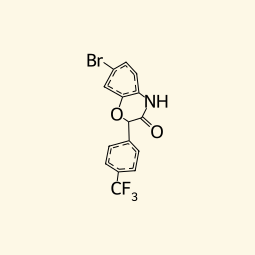 O=C1Nc2ccc(Br)cc2OC1c1ccc(C(F)(F)F)cc1